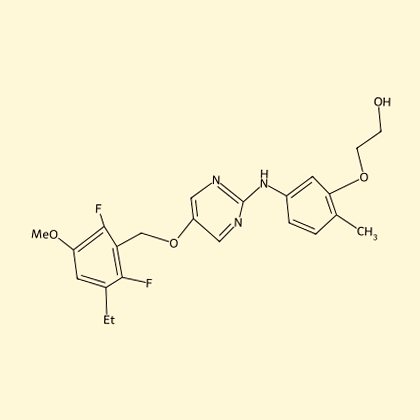 CCc1cc(OC)c(F)c(COc2cnc(Nc3ccc(C)c(OCCO)c3)nc2)c1F